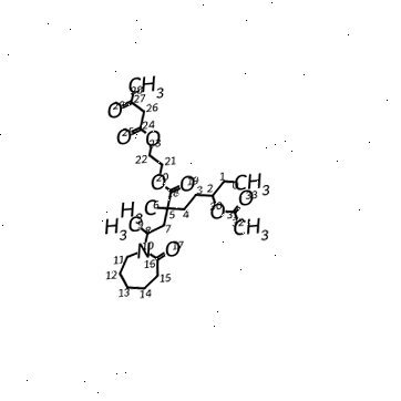 CCC(CCC(C)(CC(C)N1CCCCCC1=O)C(=O)OCCOC(=O)CC(C)=O)OC(C)=O